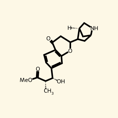 COC(=O)[C@@H](C)[C@@H](O)c1ccc2c(c1)OC(C1CC3C[C@@H]1CN3)CC2=O